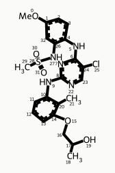 COc1ccc(Nc2nc(Nc3cccc(OCC(C)O)c3C)ncc2Cl)c(NS(C)(=O)=O)c1